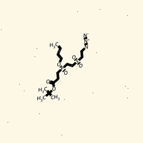 CCCCOP(=O)(CCC(=O)OC(C)(C)C)CCS(=O)(=O)CCN=[N+]=[N-]